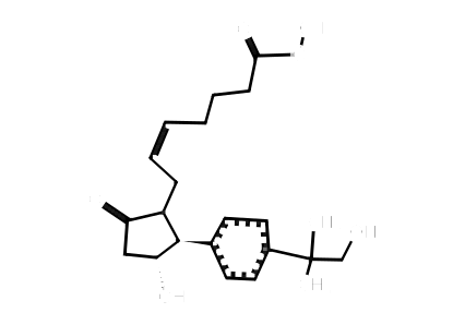 COC(=O)CCC/C=C\CC1C(=O)C[C@@H](O)[C@@H]1c1ccc(C(C)(C)CO)cc1